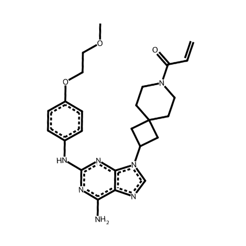 C=CC(=O)N1CCC2(CC1)CC(n1cnc3c(N)nc(Nc4ccc(OCCOC)cc4)nc31)C2